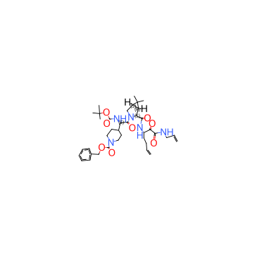 C=CCCC(NC(=O)[C@@H]1[C@@H]2[C@H](CN1C(=O)[C@@H](NC(=O)OC(C)(C)C)C1CCN(C(=O)OCc3ccccc3)CC1)C2(C)C)C(=O)C(=O)NCC=C